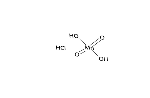 Cl.[O]=[Mn](=[O])([OH])[OH]